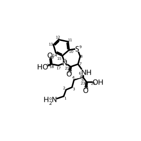 NCCCC[C@@H](NC1CSc2ccccc2N(CC(=O)O)C1=O)C(=O)O